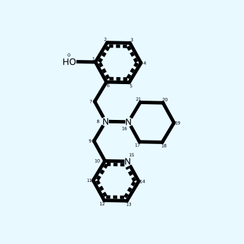 Oc1ccccc1CN(Cc1ccccn1)N1CCCCC1